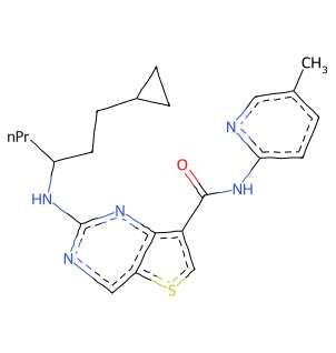 CCCC(CCC1CC1)Nc1ncc2scc(C(=O)Nc3ccc(C)cn3)c2n1